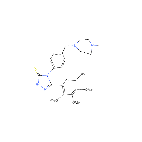 COc1c(-c2n[nH]c(=S)n2-c2ccc(CN3CCN(C)CC3)cc2)cc(C(C)C)c(OC)c1OC